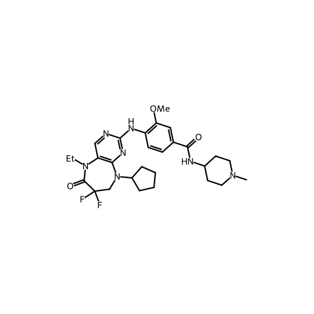 CCN1C(=O)C(F)(F)CN(C2CCCC2)c2nc(Nc3ccc(C(=O)NC4CCN(C)CC4)cc3OC)ncc21